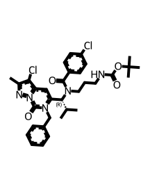 Cc1nn2c(=O)n(Cc3ccccc3)c([C@@H](C(C)C)N(CCCNC(=O)OC(C)(C)C)C(=O)c3ccc(Cl)cc3)cc2c1Cl